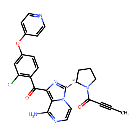 CC#CC(=O)N1CCC[C@H]1c1nc(C(=O)c2ccc(Oc3ccncc3)cc2Cl)c2c(N)nccn12